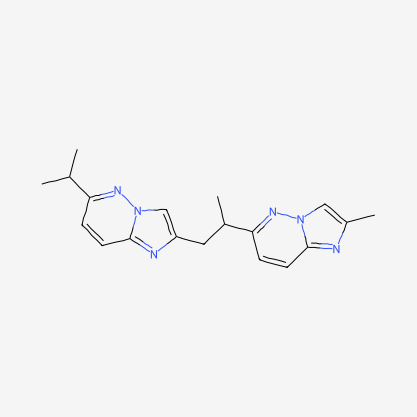 Cc1cn2nc(C(C)Cc3cn4nc(C(C)C)ccc4n3)ccc2n1